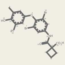 Cc1cc(Oc2c(Br)cc(NC(=O)C3(C(=O)O)CCC3)cc2Br)cc(C(C)C)c1O